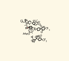 CC1COc2ccccc2N1C(=O)C(Cl)Cl.CCc1ccc(COc2ccc(-n3c(=O)cc(C(F)(F)F)n(C)c3=O)cc2)c(OC(C)C(=O)OC)c1.CCc1cccc(C)c1N(C(=O)CCl)C(C)COC.CS(=O)(=O)c1cc(C(F)(F)F)ccc1C(=O)c1cnoc1C1CC1